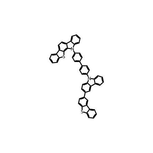 c1ccc2c(c1)sc1ccc(-c3ccc4c(c3)c3ccccc3n4-c3ccc(-c4ccc(-n5c6ccccc6c6ccc7c8ccccc8sc7c65)cc4)cc3)cc12